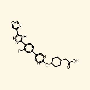 O=C(O)C[C@H]1CC[C@@H](Oc2ncc(-c3ccc(-c4nnc(-c5cocn5)[nH]4)c(F)c3)cn2)CC1